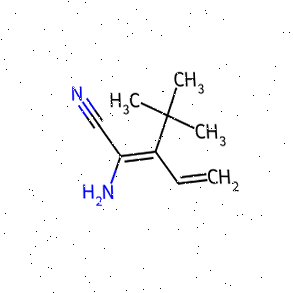 C=C/C(=C(\N)C#N)C(C)(C)C